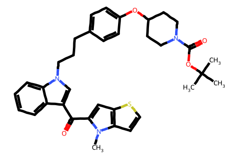 Cn1c(C(=O)c2cn(CCCc3ccc(OC4CCN(C(=O)OC(C)(C)C)CC4)cc3)c3ccccc23)cc2sccc21